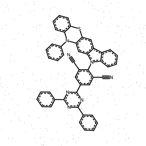 N#Cc1cc(-c2nc(-c3ccccc3)nc(-c3ccccc3)n2)cc(C#N)c1-n1c2ccccc2c2cc3c(cc21)N(c1ccccc1)c1ccccc1S3